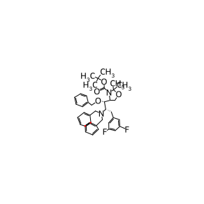 CC(C)(C)OC(=O)N1C([C@@H](OCc2ccccc2)[C@H](Cc2cc(F)cc(F)c2)N(Cc2ccccc2)Cc2ccccc2)COC1(C)C